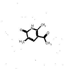 CC(=O)c1cc(C)c(=O)[nH]c1C